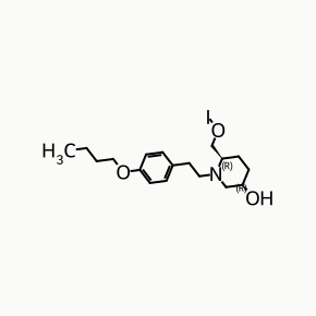 CCCCOc1ccc(CCN2C[C@H](O)CC[C@@H]2COI)cc1